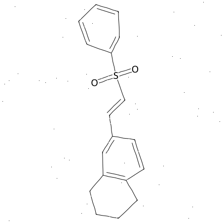 O=S(=O)(C=Cc1ccc2c(c1)CCCC2)c1ccccc1